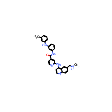 CNCc1ccc2nccc(Nc3cc(C(=O)Nc4cccc(Nc5cccc(C)c5)c4)ccn3)c2c1